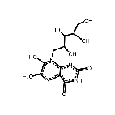 Cc1nc2c(=O)[nH]c(=O)nc-2n(CC(O)C(O)C(O)CO)c1O